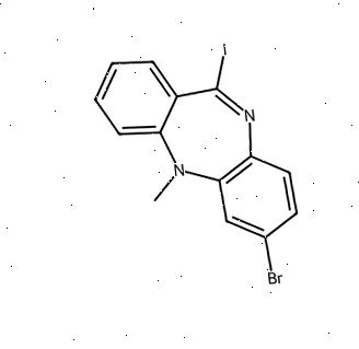 CN1c2cc(Br)ccc2N=C(I)c2ccccc21